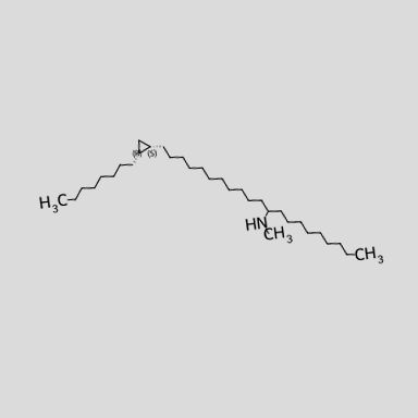 CCCCCCCCCC(CCCCCCCCCCC[C@H]1C[C@H]1CCCCCCCC)NC